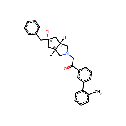 Cc1ccccc1-c1cccc(C(=O)CN2C[C@@H]3C[C@](O)(Cc4ccccc4)C[C@@H]3C2)c1